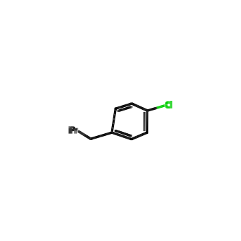 [CH2]C(C)Cc1ccc(Cl)cc1